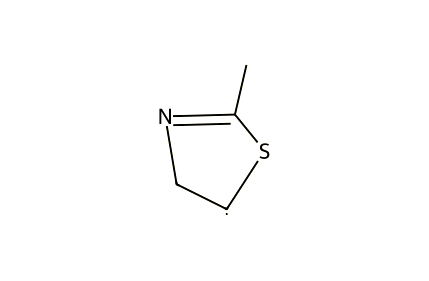 CC1=NC[CH]S1